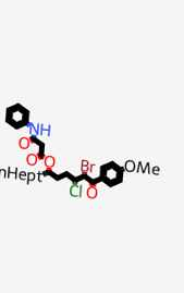 CCCCCCCC(CCC(Cl)C(Br)C(=O)c1ccc(OC)cc1)OC(=O)CC(=O)Nc1ccccc1